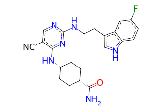 N#Cc1cnc(NCCc2c[nH]c3ccc(F)cc23)nc1N[C@H]1CC[C@@H](C(N)=O)CC1